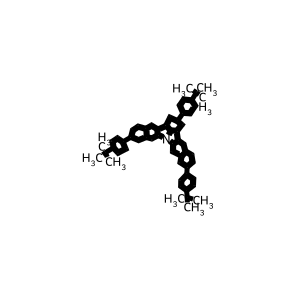 CC(C)(C)c1ccc(-c2ccc3cc4c5cc(-c6ccc(C(C)(C)C)cc6)cc6c7cc8ccc(-c9ccc(C(C)(C)C)cc9)cc8cc7n(c4cc3c2)c56)cc1